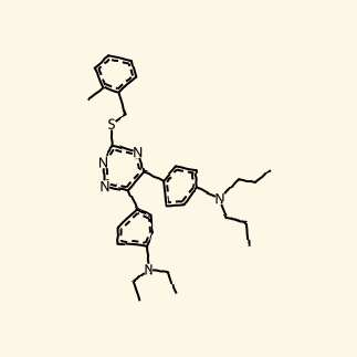 CCCN(CCC)c1ccc(-c2nc(SCc3ccccc3C)nnc2-c2ccc(N(CC)CC)cc2)cc1